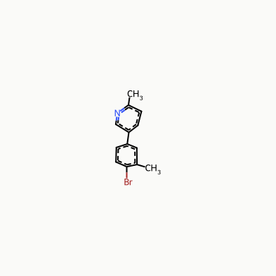 Cc1ccc(-c2ccc(Br)c(C)c2)cn1